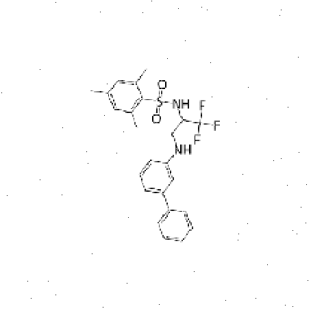 Cc1cc(C)c(S(=O)(=O)NC(CNc2cccc(-c3ccccc3)c2)C(F)(F)F)c(C)c1